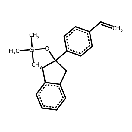 C=Cc1ccc(C2(O[Si](C)(C)C)Cc3ccccc3C2)cc1